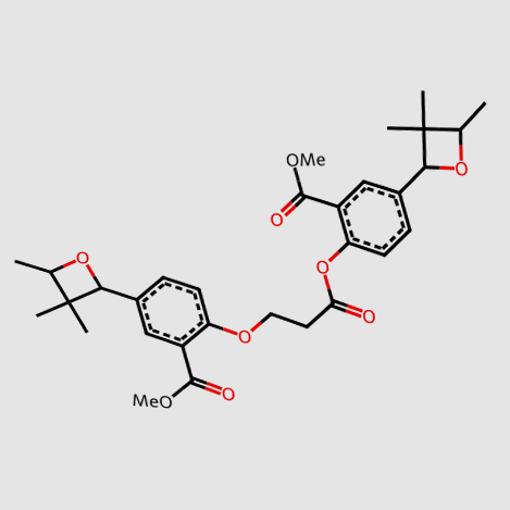 COC(=O)c1cc(C2OC(C)C2(C)C)ccc1OCCC(=O)Oc1ccc(C2OC(C)C2(C)C)cc1C(=O)OC